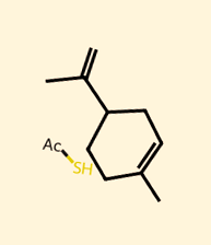 C=C(C)C1CC=C(C)CC1.CC(=O)S